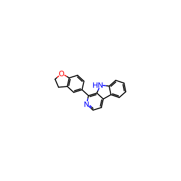 c1ccc2c(c1)[nH]c1c(-c3ccc4c(c3)CCO4)nccc12